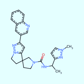 CC(NC(=O)N1CCC2(CCn3nc(-c4cnc5ccccc5c4)cc32)C1)c1ccn(C)n1